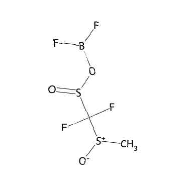 C[S+]([O-])C(F)(F)S(=O)OB(F)F